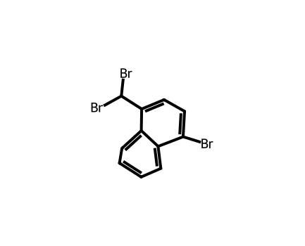 Brc1ccc(C(Br)Br)c2ccccc12